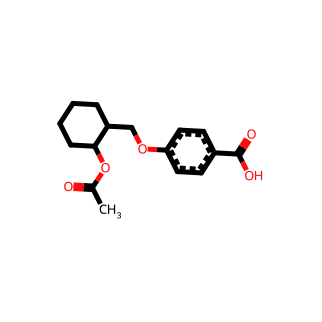 CC(=O)OC1CCCCC1COc1ccc(C(=O)O)cc1